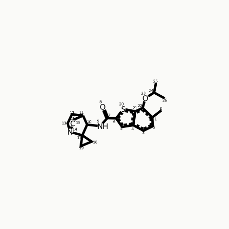 Cc1ccc2cc(C(=O)NC3C4CCN(CC4)C34CC4)sc2c1OC(C)C